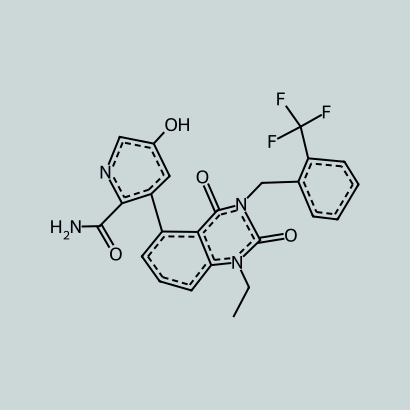 CCn1c(=O)n(Cc2ccccc2C(F)(F)F)c(=O)c2c(-c3cc(O)cnc3C(N)=O)cccc21